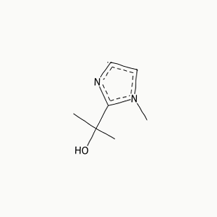 Cn1c[c]nc1C(C)(C)O